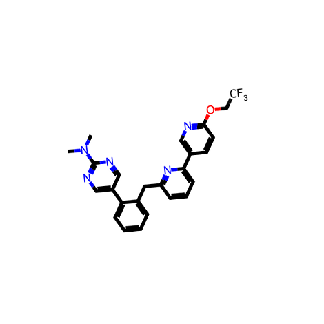 CN(C)c1ncc(-c2ccccc2Cc2cccc(-c3ccc(OCC(F)(F)F)nc3)n2)cn1